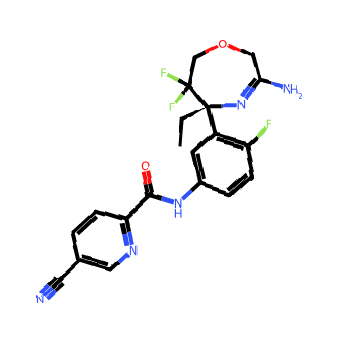 CC[C@]1(c2cc(NC(=O)c3ccc(C#N)cn3)ccc2F)N=C(N)COCC1(F)F